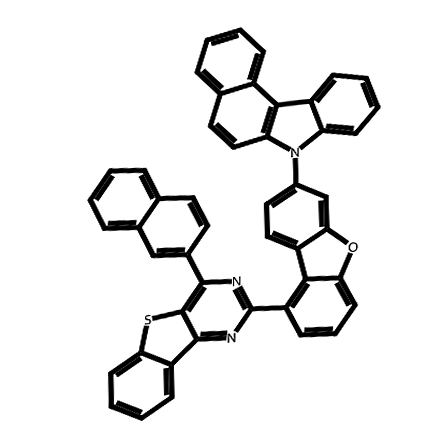 c1ccc2cc(-c3nc(-c4cccc5oc6cc(-n7c8ccccc8c8c9ccccc9ccc87)ccc6c45)nc4c3sc3ccccc34)ccc2c1